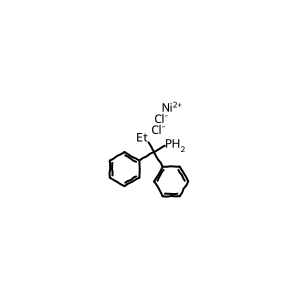 CCC(P)(c1ccccc1)c1ccccc1.[Cl-].[Cl-].[Ni+2]